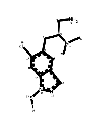 CN(C)[C@H](CN)Cc1cc2cnn(SI)c2cc1Cl